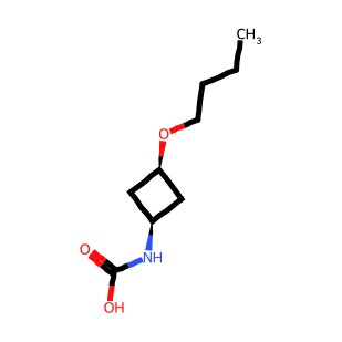 CCCCO[C@H]1C[C@@H](NC(=O)O)C1